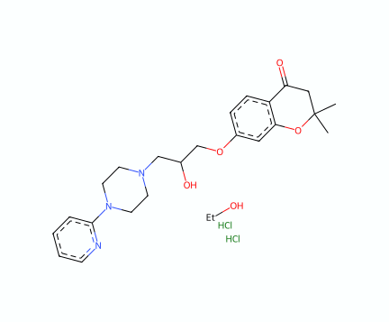 CC1(C)CC(=O)c2ccc(OCC(O)CN3CCN(c4ccccn4)CC3)cc2O1.CCO.Cl.Cl